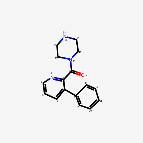 O=C(c1ncccc1-c1ccccc1)N1CCNCC1